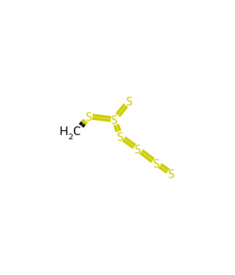 C=S=S(=S)=S=S=S=S